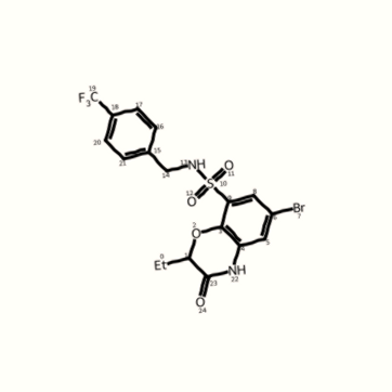 CCC1Oc2c(cc(Br)cc2S(=O)(=O)NCc2ccc(C(F)(F)F)cc2)NC1=O